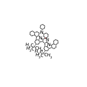 CC(C)(C)c1cc2c3c4c5cc(C(C)(C)C)cc6c7ccc8ccccc8c7n(c4ncc3n3c4c(N(c7ccccc7)c7ccccc7)cc7ccccc7c4c(c1)c23)c65